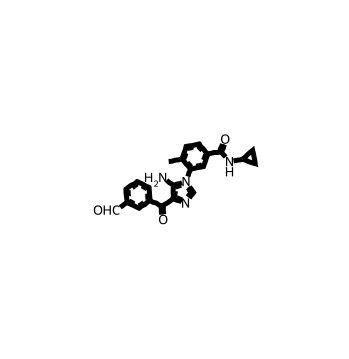 Cc1ccc(C(=O)NC2CC2)cc1-n1cnc(C(=O)c2cccc(C=O)c2)c1N